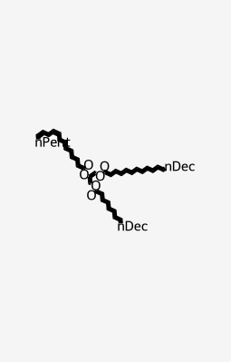 CCCCC/C=C\C/C=C\CCCCCCCC(=O)OC(COC(=O)CCCCCCCCCCCCCCCCC)COC(=O)CCCCCCCCCCCCCCCCCCCCC